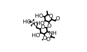 COC1C(O)C(CO[Si](C)(C)O)OC(OC2C(C=O)OC(C)C(O)C2O)C1NC(C)=O